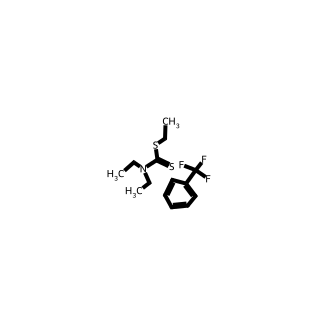 CCSC(=S)N(CC)CC.FC(F)(F)c1ccccc1